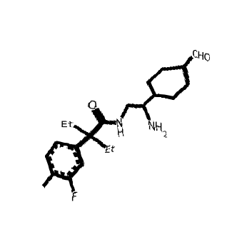 CCC(CC)(C(=O)NCC(N)C1CCC(C=O)CC1)c1ccc(C)c(F)c1